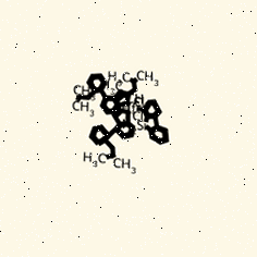 CC(C)CC1=Cc2c(-c3ccccc3CC(C)C)cccc2[CH]1[Hf]([Cl])([Cl])([c]1cccc2c1[SiH2]c1ccccc1-2)[CH]1C(CC(C)C)=Cc2c(-c3ccccc3CC(C)C)cccc21